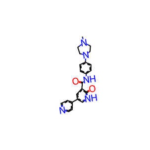 CN1CCN(c2ccc(NC(=O)c3cc(-c4ccncc4)c[nH]c3=O)cc2)CC1